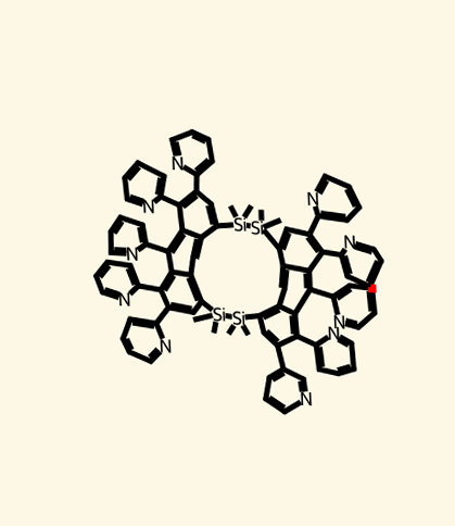 C[Si]1(C)c2cc(-c3cccnc3)c(-c3ccccn3)c3c(-c4ccccn4)c4c(-c5ccccn5)c(-c5ccccn5)cc(c4cc23)[Si](C)(C)[Si](C)(C)c2cc(-c3ccccn3)c(-c3ccccn3)c3c(-c4ccccn4)c4c(-c5ccccn5)c(-c5ccccn5)cc(c4cc23)[Si]1(C)C